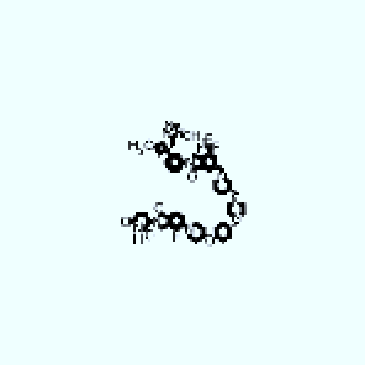 Cn1cnnc1C[C@]1(c2cccc(N3Cc4c(cc(CN5CCC[C@H](CN6CCN(C[C@H]7CC[C@H](OC8CCN(c9ccc%10c(c9F)CN(C9CCC(=O)NC9=O)C%10=O)CC8)CC7)CC6)C5)cc4C(F)(F)F)C3=O)c2)C[C@@H](C)C1